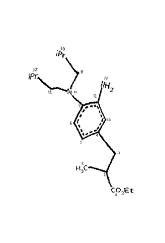 CCOC(=O)C(C)Cc1ccc(N(CC(C)C)CC(C)C)c(N)c1